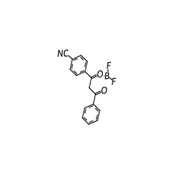 F[B]F.N#Cc1ccc(C(=O)CC(=O)c2ccccc2)cc1